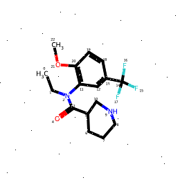 CCN(C(=O)C1CCCNC1)c1cc(C(F)(F)F)ccc1OC